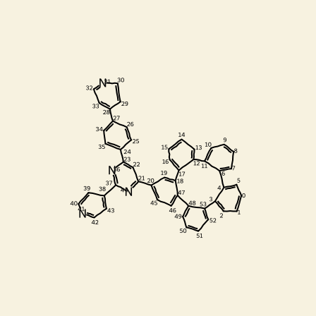 c1ccc2c(c1)c1ccccc1c1ccccc1c1cc(-c3cc(-c4ccc(-c5ccncc5)cc4)nc(-c4ccncc4)n3)ccc1c1ccccc21